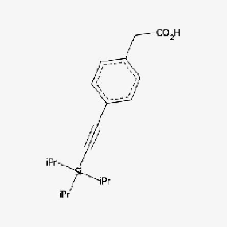 CC(C)[Si](C#Cc1ccc(CC(=O)O)cc1)(C(C)C)C(C)C